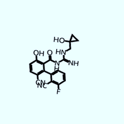 N#Cc1ccc(O)c(C(=O)NC(=N)NCC2(O)CC2)c1-c1cccc(F)c1C#N